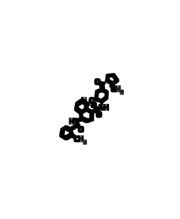 Cc1ccccc1C(=O)Nc1ccc(S(=O)(=O)N[C@H]2CCN(C(=O)[C@@H]3CCCN3C)C[C@H]2C)c2ccccc12